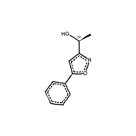 C[C@H](O)c1cc(-c2ccccc2)on1